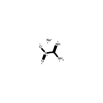 N=C(N)S(=O)[O-].[Na+]